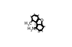 CC1CC=Cc2oc3cccc(N)c3c21